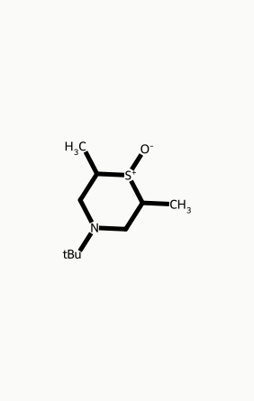 CC1CN(C(C)(C)C)CC(C)[S+]1[O-]